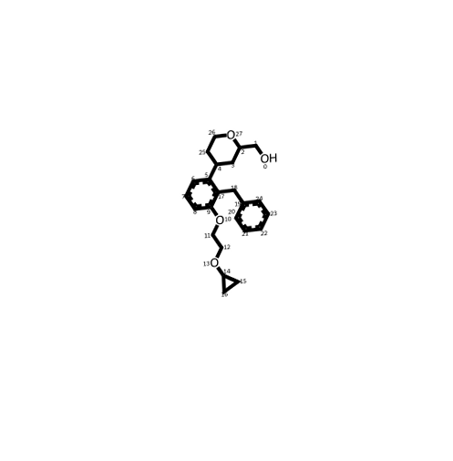 OCC1CC(c2cccc(OCCOC3CC3)c2Cc2ccccc2)CCO1